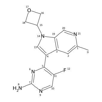 Cc1cc2c(-c3nc(N)ncc3F)cn(C3COC3)c2cn1